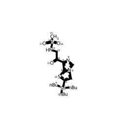 CCC[CH2][Sn]([CH2]CCC)([CH2]CCC)[c]1cn2cnc(C(=O)CNS(C)(=O)=O)c2s1